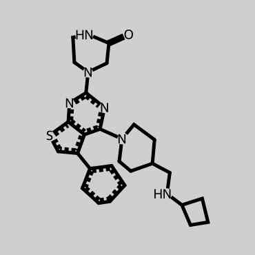 O=C1CN(c2nc(N3CCC(CNC4CCC4)CC3)c3c(-c4ccccc4)csc3n2)CCN1